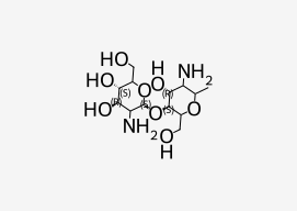 CC1OC(CO)[C@@H](O[C@@H]2OC(CO)[C@@H](O)[C@H](O)C2N)[C@H](O)C1N